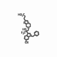 N#Cc1ccc2c(C(O)(CN3CCn4cc(CCC(=O)O)nc4C3)C(F)(F)F)cn(Cc3ccccc3)c2c1